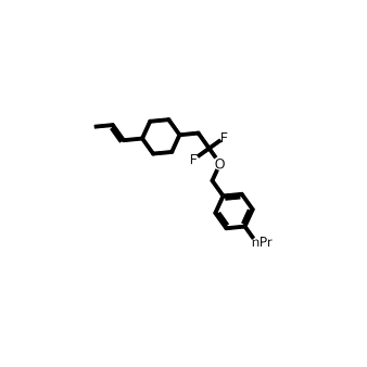 CC=CC1CCC(CC(F)(F)OCc2ccc(CCC)cc2)CC1